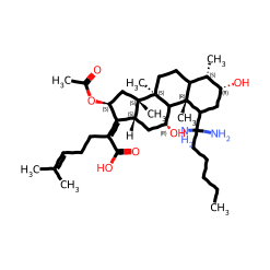 CCCCCC(N)(N)C1C[C@@H](O)[C@@H](C)C2CC[C@@]3(C)C([C@H](O)C[C@@H]4C(=C(CCC=C(C)C)C(=O)O)[C@@H](OC(C)=O)C[C@@]43C)[C@]21C